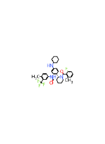 Cc1ccc(NC(=O)[C@H]2CCCN(C(=O)c3c(C)cccc3F)[C@H]2c2ccc(NC3CCCCC3)cc2)cc1C(F)(F)F